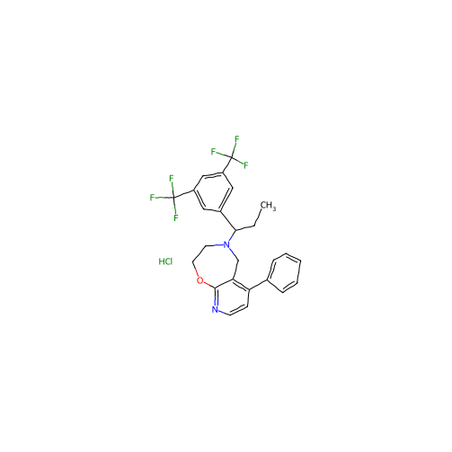 CCC(c1cc(C(F)(F)F)cc(C(F)(F)F)c1)N1CCOc2nccc(-c3ccccc3)c2C1.Cl